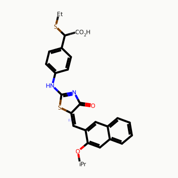 CCSC(C(=O)O)c1ccc(NC2=NC(=O)/C(=C\c3cc4ccccc4cc3OC(C)C)S2)cc1